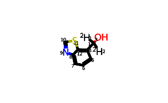 [2H]C([2H])(O)c1cccc2ncsc12